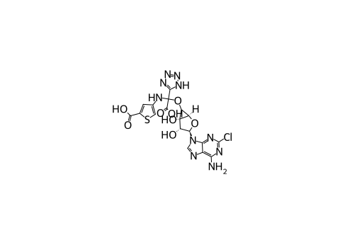 Nc1nc(Cl)nc2c1ncn2[C@@H]1O[C@@H]2C(OC(Nc3csc(C(=O)O)c3)(C(=O)O)c3nnn[nH]3)[C@]2(O)[C@H]1O